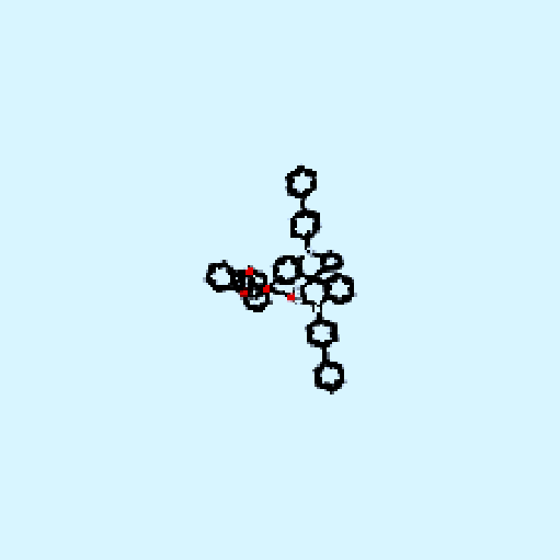 c1ccc(-c2ccc(N3c4ccccc4C4(c5ccccc5N(c5ccc(-c6ccccc6)cc5)c5ccc(-c6cccc7c6oc6ccccc67)cc54)c4cc(-c5ccccc5)ccc43)cc2)cc1